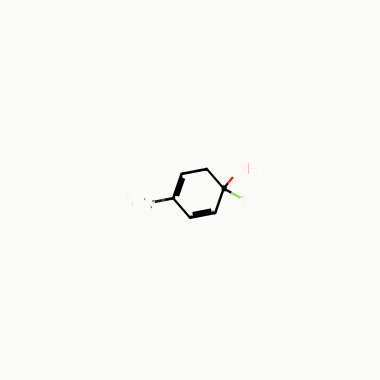 O=[N+]([O-])C1=CCC(O)(F)C=C1